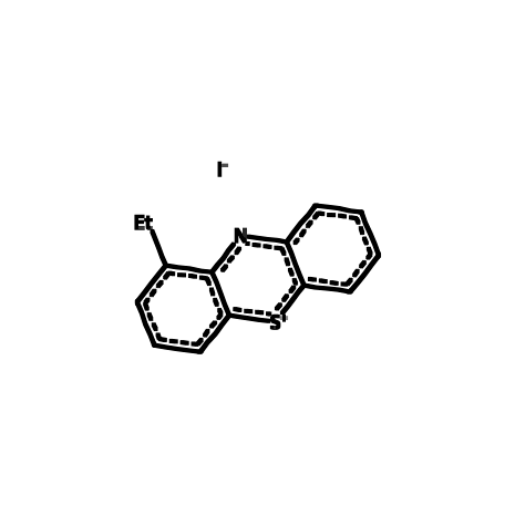 CCc1cccc2[s+]c3ccccc3nc12.[I-]